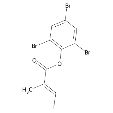 CC(=CI)C(=O)Oc1c(Br)cc(Br)cc1Br